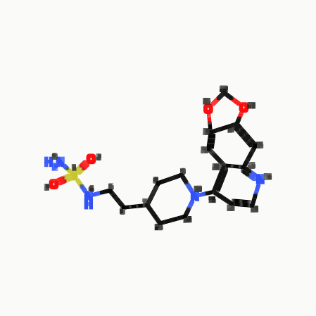 NS(=O)(=O)NCCC1CCN(c2ccnc3cc4c(cc23)OCO4)CC1